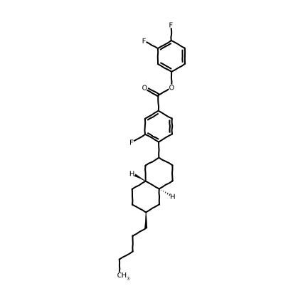 CCCCC[C@H]1CC[C@@H]2CC(c3ccc(C(=O)Oc4ccc(F)c(F)c4)cc3F)CC[C@H]2C1